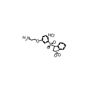 Cl.NCCOc1cccc(S(=O)(=O)C2CS(=O)(=O)c3ccccc32)c1